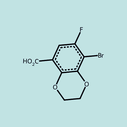 O=C(O)c1cc(F)c(Br)c2c1OCCO2